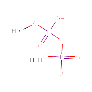 COP(=O)(O)OP(=O)(O)O.[NaH]